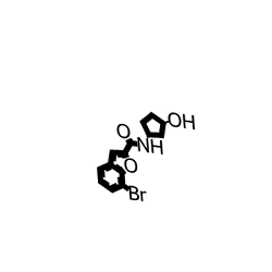 O=C(N[C@@H]1CC[C@H](O)C1)c1cc2cccc(Br)c2o1